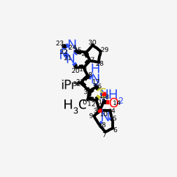 Cc1c(C2CC3CCC(C2)N3CC(N)=O)sc2[nH]c(-c3cn4ncnc4c4c3CCC4)c(C(C)C)c12